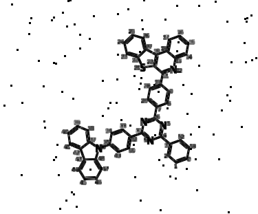 c1ccc(-c2nc(-c3ccc(-c4nc5ccccc5c5c4sc4ccccc45)cc3)nc(-c3ccc(-n4c5ccccc5c5ccccc54)cc3)n2)cc1